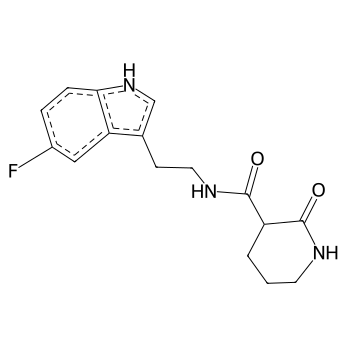 O=C1NCCCC1C(=O)NCCc1c[nH]c2ccc(F)cc12